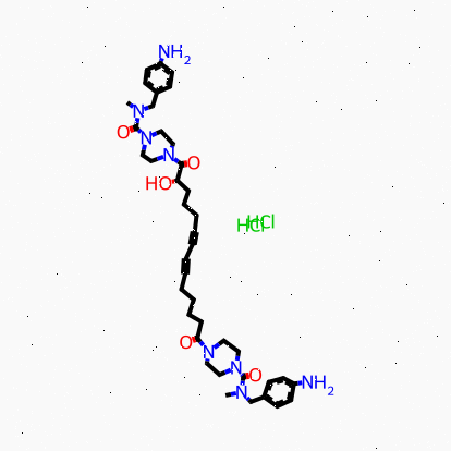 CN(Cc1ccc(N)cc1)C(=O)N1CCN(C(=O)CCCCC#CC#CCCCC(O)C(=O)N2CCN(C(=O)N(C)Cc3ccc(N)cc3)CC2)CC1.Cl.Cl